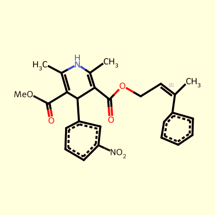 COC(=O)C1=C(C)NC(C)=C(C(=O)OC/C=C(/C)c2ccccc2)C1c1cccc([N+](=O)[O-])c1